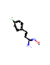 NC(/C=C/c1ccc(Br)cc1)=NO